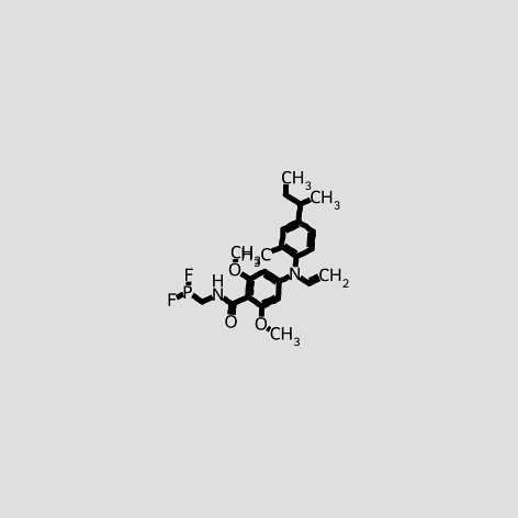 C=CN(c1cc(OC)c(C(=O)NCP(F)F)c(OC)c1)c1ccc(C(C)CC)cc1C